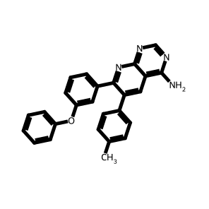 Cc1ccc(-c2cc3c(N)ncnc3nc2-c2cccc(Oc3ccccc3)c2)cc1